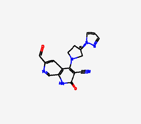 N#Cc1c(N2CC[C@@H](n3cccn3)C2)c2cc(C=O)ncc2[nH]c1=O